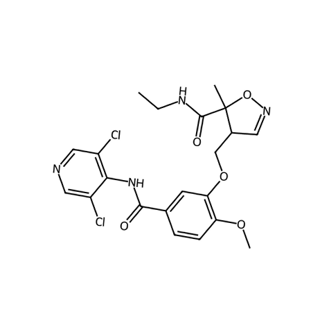 CCNC(=O)C1(C)ON=CC1COc1cc(C(=O)Nc2c(Cl)cncc2Cl)ccc1OC